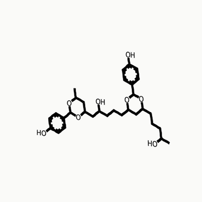 CC(O)CCCC1CC(CCCC(O)CC2CC(C)OC(c3ccc(O)cc3)O2)OC(c2ccc(O)cc2)O1